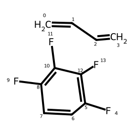 C=CC=C.Fc1ccc(F)c(F)c1F